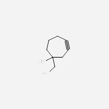 SCC1(S)CC#CCCC1